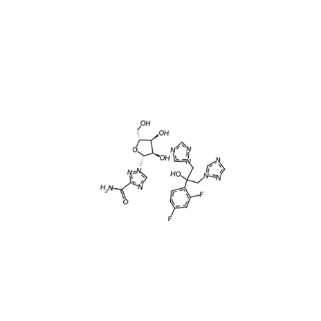 NC(=O)c1ncn([C@@H]2O[C@H](CO)[C@@H](O)[C@H]2O)n1.OC(Cn1cncn1)(Cn1cncn1)c1ccc(F)cc1F